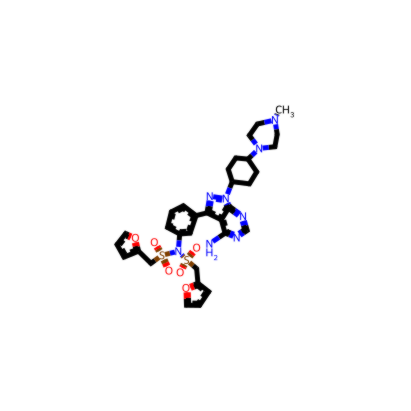 CN1CCN(C2CCC(n3nc(-c4cccc(N(S(=O)(=O)Cc5ccco5)S(=O)(=O)Cc5ccco5)c4)c4c(N)ncnc43)CC2)CC1